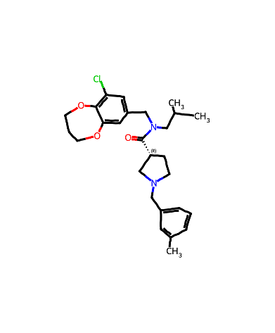 Cc1cccc(CN2CC[C@@H](C(=O)N(Cc3cc(Cl)c4c(c3)OCCCO4)CC(C)C)C2)c1